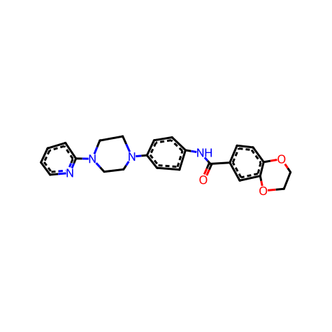 O=C(Nc1ccc(N2CCN(c3ccccn3)CC2)cc1)c1ccc2c(c1)OCCO2